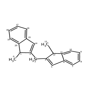 C[C]1C([SiH2]C2=Cc3ccccc3[C]2C)=Cc2ccccc21